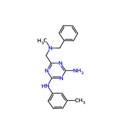 Cc1cccc(Nc2nc(N)nc(CN(C)Cc3ccccc3)n2)c1